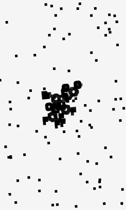 COc1ccc(CN2C(=C=O)c3cc(Br)cc(NC(=O)c4cc(F)cc(C(F)(F)F)c4)c3C2c2cc(F)ccc2Cl)cc1